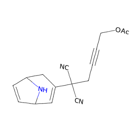 CC(=O)OCC#CCC(C#N)(C#N)C1=CC2C=CC(C1)N2